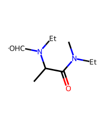 CCN(C)C(=O)C(C)N([C]=O)CC